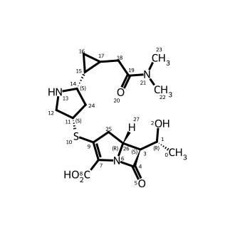 C[C@@H](O)[C@H]1C(=O)N2C(C(=O)O)=C(S[C@@H]3CN[C@H](C4CC4CC(=O)N(C)C)C3)C[C@H]12